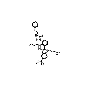 CCCCNc1c(NC(=S)NCCc2ccccc2)cccc1-c1nc2cc(C(=O)OC)ccc2n1CCCOC